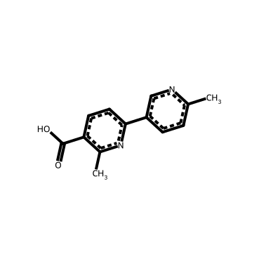 Cc1ccc(-c2ccc(C(=O)O)c(C)n2)cn1